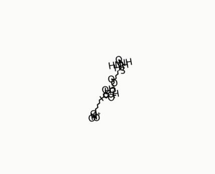 CC(C)(CCCCCCO[N+](=O)[O-])c1cc(O)c2c(c1)OC(C)(C)[C@@H]1CC[C@@H](COC(=O)CCCC[C@@H]3SC[C@@H]4NC(=O)N[C@@H]43)C[C@@H]21